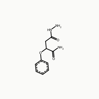 NNC(=O)CC(Oc1ccccc1)C(N)=O